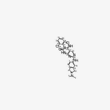 CN(C)[C@@H]1Cc2ccc(Nc3ncc4c(=N)n(-c5c(Cl)cccc5Cl)c(=O)[nH]c4n3)cc2C1